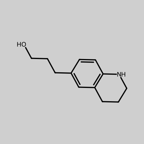 OCCCc1ccc2c(c1)CCCN2